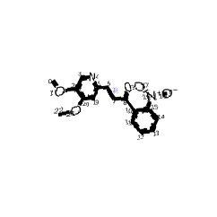 COc1cnc(/C=C/C(=O)c2ccccc2[N+](=O)[O-])cc1OC